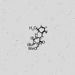 COCNC(=O)C(Cc1cc(C)ccc1F)NC(=O)OC(C)(C)C